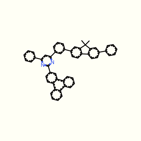 CC1(C)c2cc(-c3ccccc3)ccc2-c2ccc(-c3cccc(-c4cc(-c5ccccc5)nc(-c5ccc6c7ccccc7c7ccccc7c6c5)n4)c3)cc21